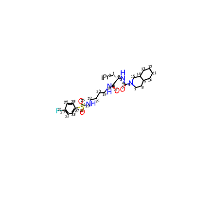 CC(C)C[C@H](NC(=O)N1CCC2CCCCC2C1)C(=O)NCCCCNS(=O)(=O)c1ccc(F)cc1